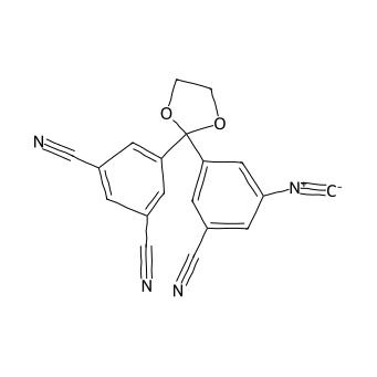 [C-]#[N+]c1cc(C#N)cc(C2(c3cc(C#N)cc(C#N)c3)OCCO2)c1